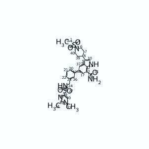 CCS(=O)(=O)N1CCC(c2c[nH]c3c(C(N)=O)cc(-c4cccc(CNS(=O)(=O)c5cn(C)c(C)n5)c4)cc23)CC1